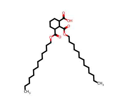 CCCCCCCCCCCCCOC(=O)C1CCCC(C(=O)O)C1C(=O)OCCCCCCCCCCCCC